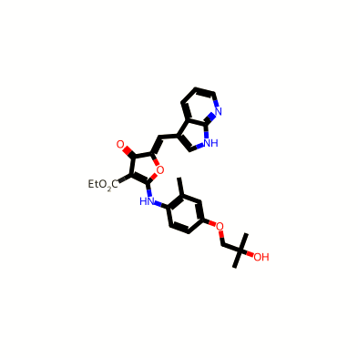 CCOC(=O)C1=C(Nc2ccc(OCC(C)(C)O)cc2C)OC(=Cc2c[nH]c3ncccc23)C1=O